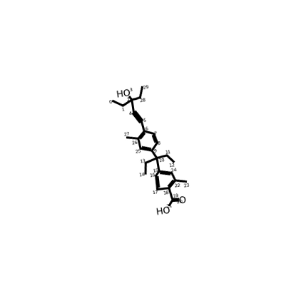 CCC(O)(C#Cc1ccc(C(CC)(CC)c2ccc(C(=O)O)c(C)c2)cc1C)CC